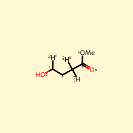 [2H]C(O)CC([2H])([2H])C(=O)OC